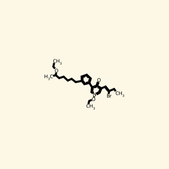 CCOC(C)CCCCCc1cccc(-c2cn(OCC)cc(C=C(Br)CC)c2=O)c1